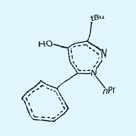 CCCn1nc(C(C)(C)C)c(O)c1-c1ccccc1